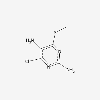 CSc1nc(N)nc(Cl)c1N